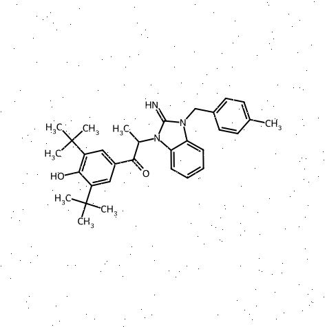 Cc1ccc(Cn2c(=N)n(C(C)C(=O)c3cc(C(C)(C)C)c(O)c(C(C)(C)C)c3)c3ccccc32)cc1